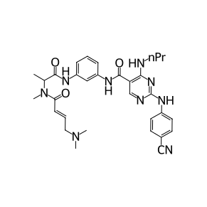 CCCNc1nc(Nc2ccc(C#N)cc2)ncc1C(=O)Nc1cccc(NC(=O)C(C)N(C)C(=O)C=CCN(C)C)c1